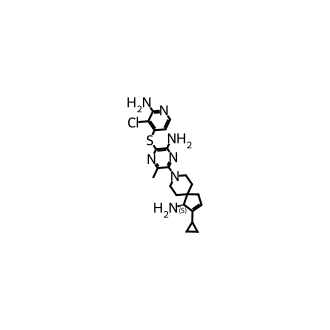 Cc1nc(Sc2ccnc(N)c2Cl)c(N)nc1N1CCC2(CC=C(C3CC3)[C@H]2N)CC1